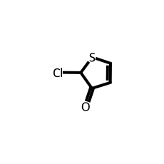 O=C1C=CSC1Cl